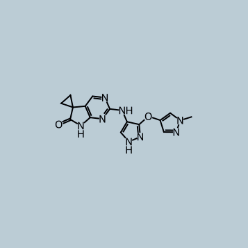 Cn1cc(Oc2n[nH]cc2Nc2ncc3c(n2)NC(=O)C32CC2)cn1